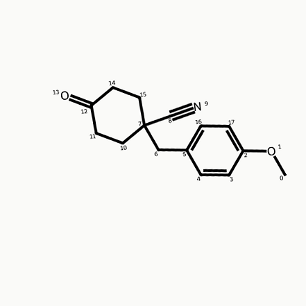 COc1ccc(CC2(C#N)CCC(=O)CC2)cc1